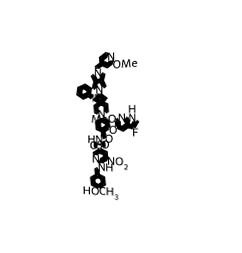 COc1cc(CN2CC3CN(C4CC5(CCN(c6ccc(C(=O)NS(=O)(=O)c7cnc(NCC8CCC(C)(O)CC8)c([N+](=O)[O-])c7)c(Oc7cc8c(F)c[nH]c8nc7OC)c6)CC5)C4)[C@H](c4ccccc4C(C)C)C3C2)ccn1